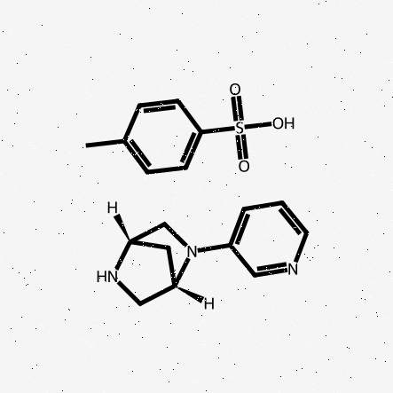 Cc1ccc(S(=O)(=O)O)cc1.c1cncc(N2C[C@@H]3C[C@H]2CN3)c1